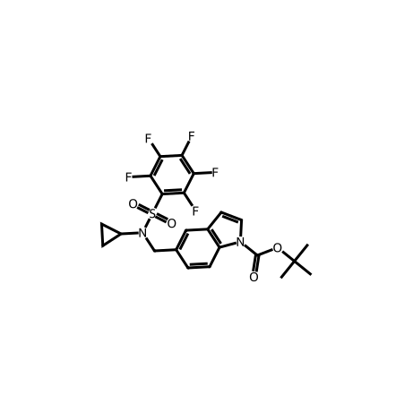 CC(C)(C)OC(=O)n1ccc2cc(CN(C3CC3)S(=O)(=O)c3c(F)c(F)c(F)c(F)c3F)ccc21